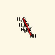 C=NCCOCCOCCN(N)C(=O)N(N)CCNCCN(N)C(=O)NCCOCCOCCN=N